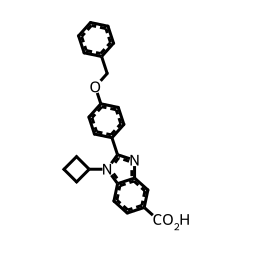 O=C(O)c1ccc2c(c1)nc(-c1ccc(OCc3ccccc3)cc1)n2C1CCC1